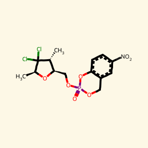 C[C@@H]1O[C@H](COP2(=O)OCc3cc([N+](=O)[O-])ccc3O2)[C@@H](C)C1(Cl)Cl